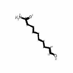 NC(=O)CCCCCCCCC[O]